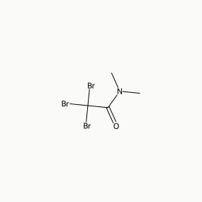 CN(C)C(=O)C(Br)(Br)Br